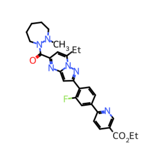 CCOC(=O)c1ccc(-c2ccc(-c3cc4nc(C(=O)N5CCCCCN5C)cc(CC)n4n3)c(F)c2)nc1